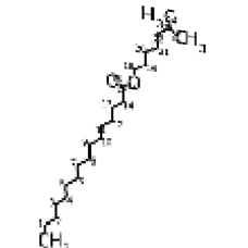 CCCCCCCCCCCCCCCC(=O)OCCCCCC(C)C